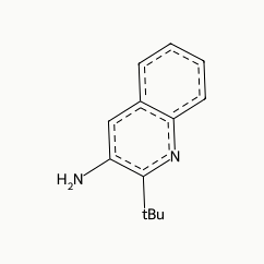 CC(C)(C)c1nc2ccccc2cc1N